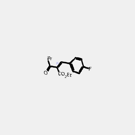 CCOC(=O)/C(=C\c1ccc(F)cc1)C(=O)C(C)C